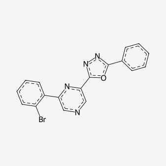 Brc1ccccc1-c1cncc(-c2nnc(-c3ccccc3)o2)n1